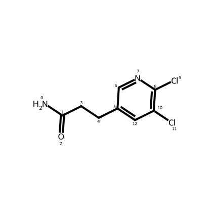 NC(=O)C[CH]c1cnc(Cl)c(Cl)c1